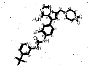 CC(C)(C)c1ccnc(NC(=O)Nc2ccc(-c3cc(CN4CCS(=O)(=O)CC4)n4ncnc(N)c34)cc2F)c1